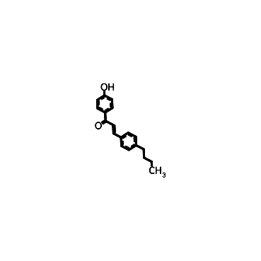 CCCCc1ccc(/C=C/C(=O)c2ccc(O)cc2)cc1